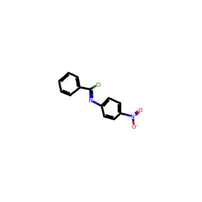 O=[N+]([O-])c1ccc(N=C(Cl)c2ccccc2)cc1